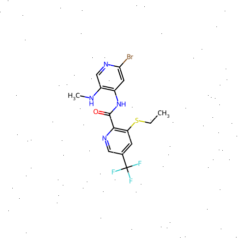 CCSc1cc(C(F)(F)F)cnc1C(=O)Nc1cc(Br)ncc1NC